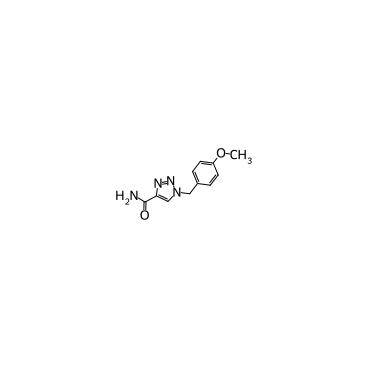 COc1ccc(Cn2cc(C(N)=O)nn2)cc1